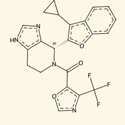 O=C(c1ocnc1C(F)(F)F)N1CCc2[nH]cnc2[C@@H]1c1oc2ccccc2c1C1CC1